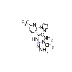 CN(N)/C(=N\N)NC(=O)c1ccc(C(F)(F)F)nc1-n1cccn1